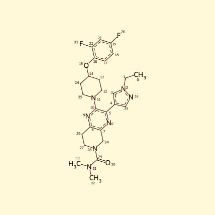 CCn1cc(-c2nc3c(nc2N2CCC(Oc4ccc(F)cc4F)CC2)CCN(C(=O)N(C)C)C3)cn1